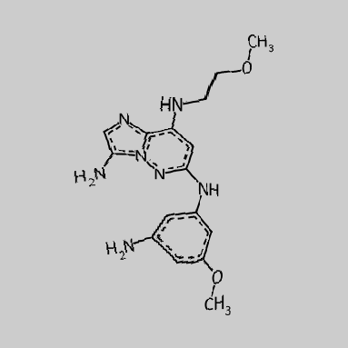 COCCNc1cc(Nc2cc(N)cc(OC)c2)nn2c(N)cnc12